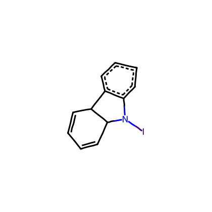 IN1c2ccccc2C2C=CC=CC21